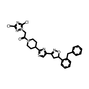 O=C(Cn1nc(Cl)nc1Cl)N1CCC(c2nc(C3=NOC(c4ccccc4Cc4ccccc4)C3)cs2)CC1